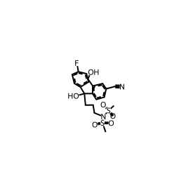 CS(=O)(=O)N(CCCC(O)(c1ccc(F)cc1)c1ccc(C#N)cc1CO)S(C)(=O)=O